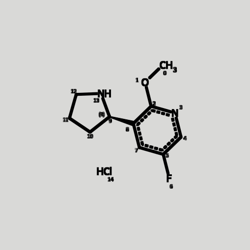 COc1ncc(F)cc1[C@H]1CCCN1.Cl